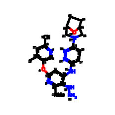 CNc1nc(Oc2cnc(C#N)cc2C)cc(Nc2ccc(N3CC4CCC(C3)O4)nn2)c1NN